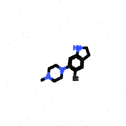 CCc1cc2c(cc1N1CCN(C)CC1)NCC2